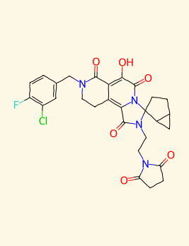 O=C1c2c(c3n(c(=O)c2O)C2(CCC4CC42)N(CCN2C(=O)CCC2=O)C3=O)CCN1Cc1ccc(F)c(Cl)c1